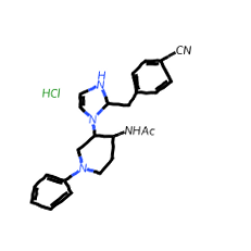 CC(=O)NC1CCN(c2ccccc2)CC1N1C=CNC1Cc1ccc(C#N)cc1.Cl